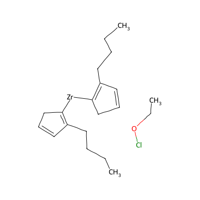 CCCCC1=[C]([Zr][C]2=C(CCCC)C=CC2)CC=C1.CCOCl